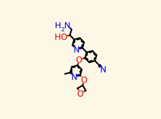 Cc1cc(Oc2cc(C#N)ccc2-c2ccc(C(O)CN)cn2)cc(OC2COC2)n1